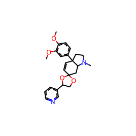 COc1ccc(C23C=CC4(CC2N(C)CC3)OCC(c2cccnc2)O4)cc1OC